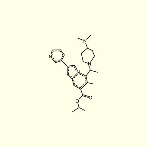 Cc1c(C(=O)OC(C)C)cc2cc(-c3cccnc3)cn2c1C(C)N1CCC(N(C)C)CC1